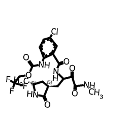 CNC(=O)C(=O)C(C[C@@H]1C[C@@H](C)NC1=O)NC(=O)c1cc(Cl)ccc1NC(=O)OCC(F)(F)F